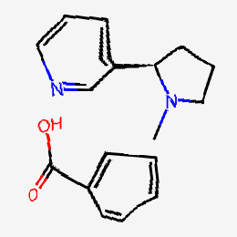 CN1CCC[C@@H]1c1cccnc1.O=C(O)c1ccccc1